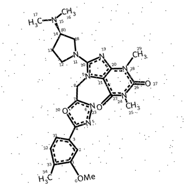 COc1cc(-c2nnc(Cn3c(N4CC[C@@H](N(C)C)C4)nc4c3c(=O)n(C)c(=O)n4C)o2)ccc1C